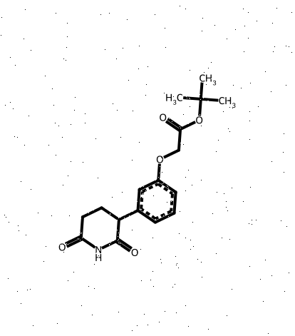 CC(C)(C)OC(=O)COc1cccc(C2CCC(=O)NC2=O)c1